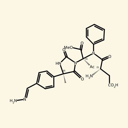 COC(=O)[C@](C(C)=O)(N1C(=O)N[C@](C)(c2ccc(C=NN)cc2)C1=O)N(C(=O)[C@@H](N)CC(=O)O)c1ccccc1